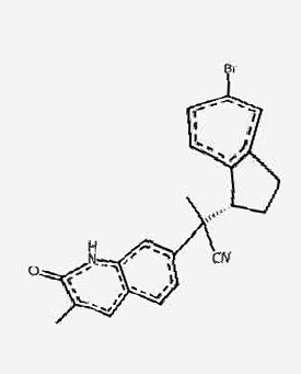 Cc1cc2ccc(C(C)(C#N)[C@H]3CCc4cc(Br)ccc43)cc2[nH]c1=O